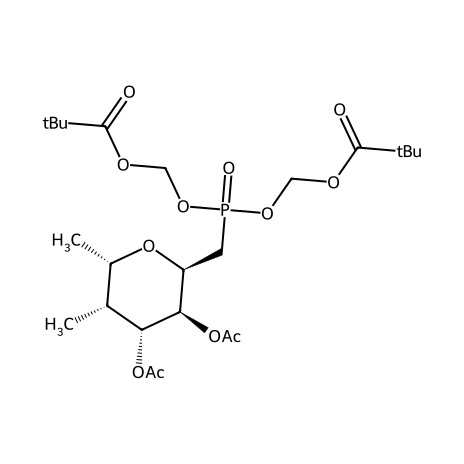 CC(=O)O[C@@H]1[C@H](C)[C@H](C)O[C@@H](CP(=O)(OCOC(=O)C(C)(C)C)OCOC(=O)C(C)(C)C)[C@H]1OC(C)=O